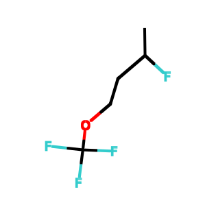 CC(F)CCOC(F)(F)F